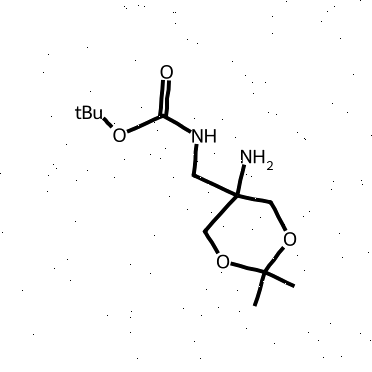 CC(C)(C)OC(=O)NCC1(N)COC(C)(C)OC1